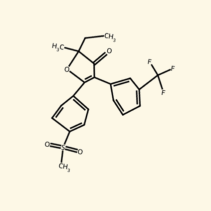 CCC1(C)OC(c2ccc(S(C)(=O)=O)cc2)=C(c2cccc(C(F)(F)F)c2)C1=O